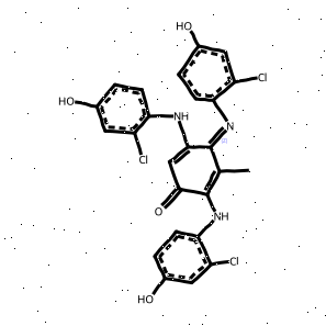 CC1=C(Nc2ccc(O)cc2Cl)C(=O)C=C(Nc2ccc(O)cc2Cl)/C1=N\c1ccc(O)cc1Cl